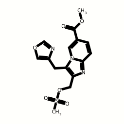 COC(=O)c1ccc2nc(COS(C)(=O)=O)c(Cc3cocn3)n2c1